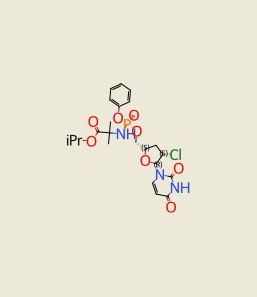 CC(C)OC(=O)C(C)(C)NP(=O)(OC[C@@H]1C[C@H](Cl)[C@H](n2ccc(=O)[nH]c2=O)O1)Oc1ccccc1